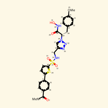 CNC(=O)c1ccc(-c2ccc(S(=O)(=O)NCc3cn([C@@H](Cc4ccc(OC)cc4)C(=O)NO)nn3)s2)cc1